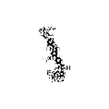 CNC(=O)N1C[C@@H](C)N(c2ccc(C(=O)Nc3cc(OC(F)(F)F)c(-c4ccc(-c5c[nH]c([C@@H]6CCCN6C(=O)[C@@H](NC(=O)OC)C(C)C)n5)cc4)cc3Cl)cn2)C[C@@H]1C